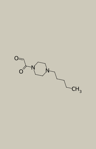 CCCCCN1CCN(C(=O)C=O)CC1